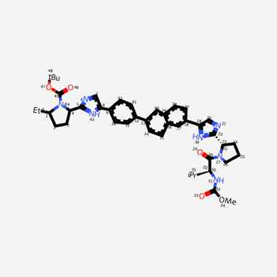 CCC1CCC(c2ncc(-c3ccc(-c4ccc5cc(-c6cnc([C@@H]7CCCN7C(=O)[C@@H](NC(=O)OC)C(C)C)[nH]6)ccc5c4)cc3)[nH]2)N1C(=O)OC(C)(C)C